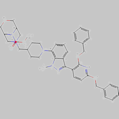 Cn1nc(-c2ccc(OCc3ccccc3)nc2OCc2ccccc2)c2cccc(N3CCC(CN4CC5COCC(C4)N5C(=O)OC(C)(C)C)CC3)c21